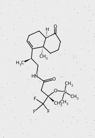 C[C@H](CNC(=O)C[C@](C)(O[Si](C)(C)C)C(F)(F)F)C1=CCC[C@H]2C(=O)CCC[C@@]12C